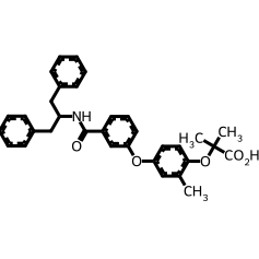 Cc1cc(Oc2cccc(C(=O)NC(Cc3ccccc3)Cc3ccccc3)c2)ccc1OC(C)(C)C(=O)O